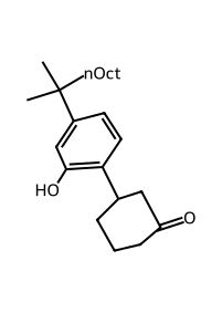 CCCCCCCCC(C)(C)c1ccc(C2CCCC(=O)C2)c(O)c1